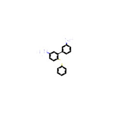 Nc1cccc(-c2cc(N)ccc2Sc2ccccc2)c1